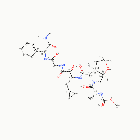 CN(C)C(=O)[C@@H](NC(=O)CNC(=O)C(=O)C(CC1CC1)NC(=O)[C@@H]1[C@H]2CC(C)(C)O[C@H]2CN1C(=O)[C@@H](NC(=O)OC(C)(C)C)C(C)(C)C)c1ccccc1